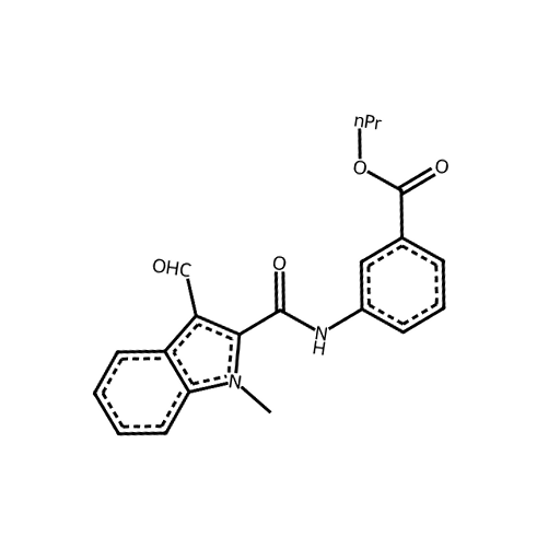 CCCOC(=O)c1cccc(NC(=O)c2c(C=O)c3ccccc3n2C)c1